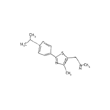 CNCc1sc(-c2ccc(C(C)C)cc2)nc1C